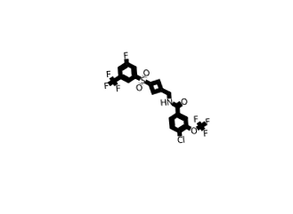 O=C(NCC1CC(S(=O)(=O)c2cc(F)cc(C(F)(F)F)c2)C1)c1ccc(Cl)c(OC(F)(F)F)c1